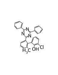 Cc1cccc(-c2nc(-c3ccccc3)nc(-c3ccccc3)n2)c1-c1cccc(Cl)c1O